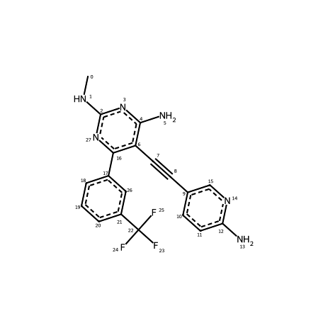 CNc1nc(N)c(C#Cc2ccc(N)nc2)c(-c2cccc(C(F)(F)F)c2)n1